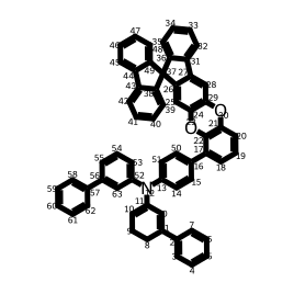 C1=C(c2ccccc2)CCC=C1N(c1ccc(-c2cccc3c2Oc2cc4c(cc2O3)-c2ccccc2C42c3ccccc3-c3ccccc32)cc1)c1cccc(-c2ccccc2)c1